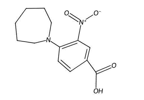 O=C(O)c1ccc(N2CCCCCC2)c([N+](=O)[O-])c1